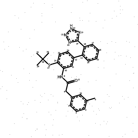 Cc1cccc(CC(=O)Nc2cc(-c3ccccc3-c3nn[nH]n3)ccc2SC(C)(C)C)c1